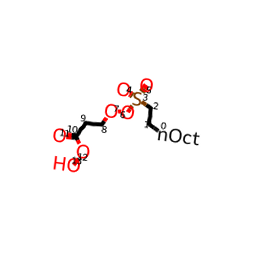 CCCCCCCCCCS(=O)(=O)OOCCC(=O)OO